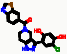 O=C(c1ccc2ncsc2c1)N1CCc2[nH]nc(-c3cc(Cl)c(O)cc3O)c2C1